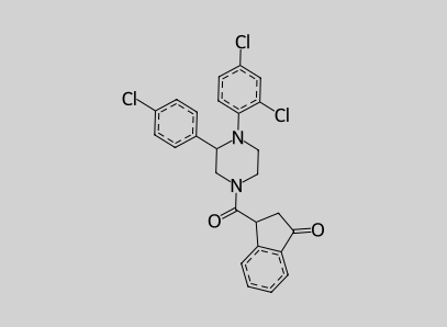 O=C1CC(C(=O)N2CCN(c3ccc(Cl)cc3Cl)C(c3ccc(Cl)cc3)C2)c2ccccc21